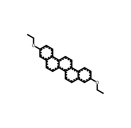 CCOc1ccc2c(ccc3c2ccc2c4ccc(OCC)cc4ccc23)c1